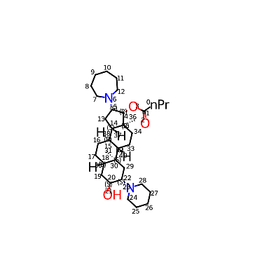 CCCC(=O)O[C@H]1[C@@H](N2CCCCCC2)C[C@H]2[C@@H]3CC[C@H]4C[C@H](O)[C@@H](N5CCCCC5)C[C@]4(C)[C@H]3CC[C@@]21C